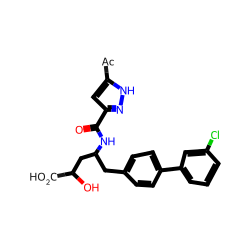 CC(=O)c1cc(C(=O)NC(Cc2ccc(-c3cccc(Cl)c3)cc2)CC(O)C(=O)O)n[nH]1